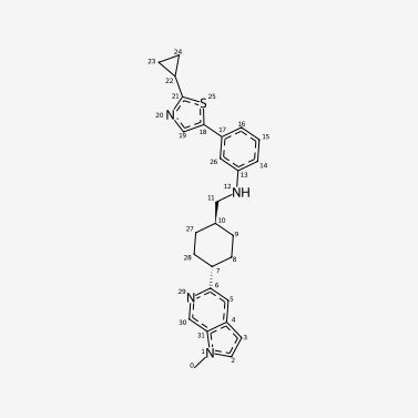 Cn1ccc2cc([C@H]3CC[C@H](CNc4cccc(-c5cnc(C6CC6)s5)c4)CC3)ncc21